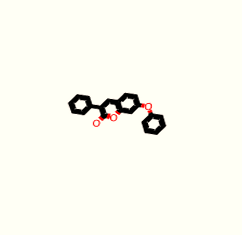 O=c1oc2cc(Oc3ccccc3)ccc2cc1-c1ccccc1